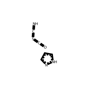 N=C=S=C=O.c1cn[nH]c1